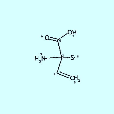 C=CC(N)([S])C(=O)O